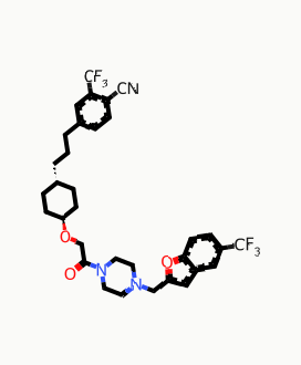 N#Cc1ccc(CCC[C@H]2CC[C@H](OCC(=O)N3CCN(Cc4cc5cc(C(F)(F)F)ccc5o4)CC3)CC2)cc1C(F)(F)F